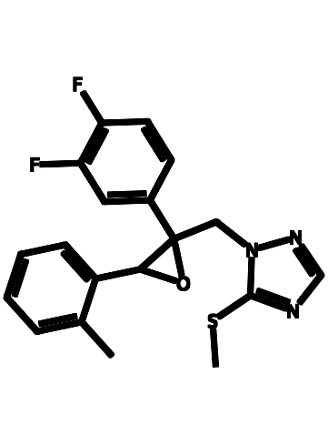 CSc1ncnn1CC1(c2ccc(F)c(F)c2)OC1c1ccccc1C